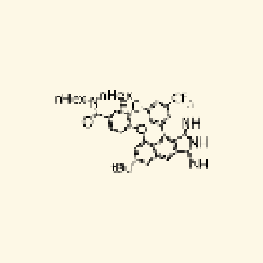 CCCCCCN(CCCCCC)C(=O)c1ccc(Oc2cc(C(C)(C)C)cc3cc4c(c(-c5cc(C(F)(F)F)cc(C(F)(F)F)c5)c23)C(=N)NC4=N)cc1